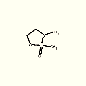 CN1CCOP1(C)=O